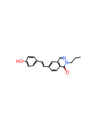 CCCn1ncc2cc(C=Cc3ccc(O)cc3)ccc2c1=O